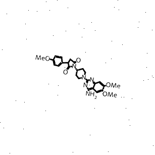 COc1ccc(C2CC(=O)N(C3CCN(c4nc(N)c5cc(OC)c(OC)cc5n4)CC3)C2=O)cc1